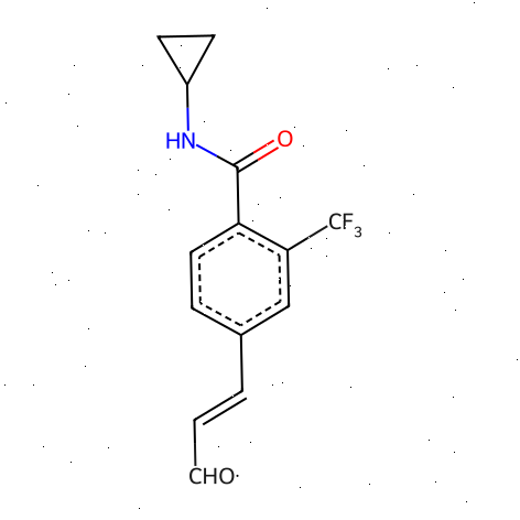 O=[C]/C=C/c1ccc(C(=O)NC2CC2)c(C(F)(F)F)c1